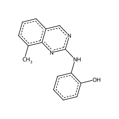 Cc1cccc2cnc(Nc3ccccc3O)nc12